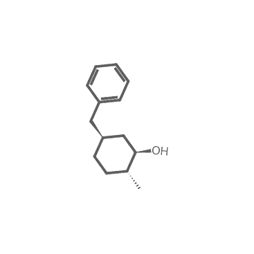 C[C@@H]1CC[C@@H](Cc2ccccc2)C[C@H]1O